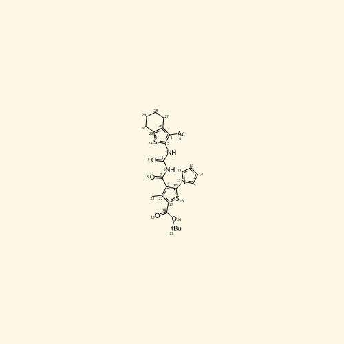 CC(=O)c1c(NC(=O)NC(=O)c2c(-n3cccc3)sc(C(=O)OC(C)(C)C)c2C)sc2c1CCCC2